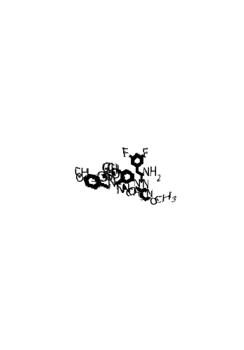 COc1ccc(CN(c2nn(C)c3c(-n4c(C(N)Cc5cc(F)cc(F)c5)nc5nc(OC)ccc5c4=O)ccc(Cl)c23)S(C)(=O)=O)cc1